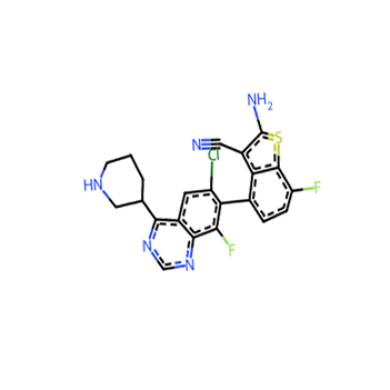 N#Cc1c(N)sc2c(F)ccc(-c3c(Cl)cc4c(C5CCCNC5)ncnc4c3F)c12